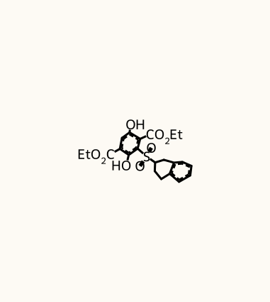 CCOC(=O)c1cc(O)c(C(=O)OCC)c(S(=O)(=O)C2CCc3ccccc3C2)c1O